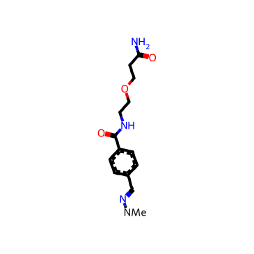 CN/N=C/c1ccc(C(=O)NCCOCCC(N)=O)cc1